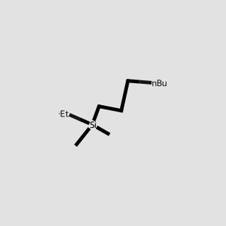 C[CH][Si](C)(C)CCCCCCC